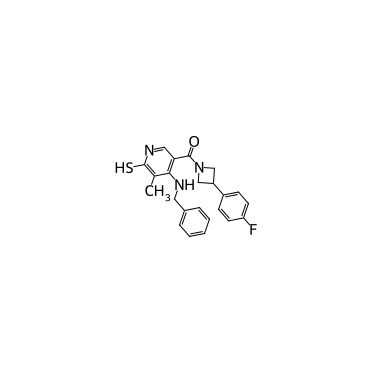 Cc1c(S)ncc(C(=O)N2CC(c3ccc(F)cc3)C2)c1NCc1ccccc1